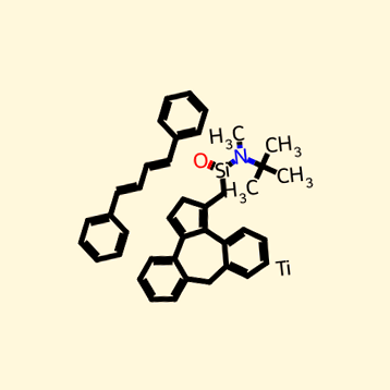 C(C=Cc1ccccc1)=Cc1ccccc1.CN([Si](=O)CC1=C2C(=CC1)c1ccccc1Cc1ccccc12)C(C)(C)C.[Ti]